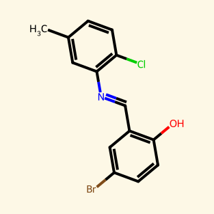 Cc1ccc(Cl)c(/N=C/c2cc(Br)ccc2O)c1